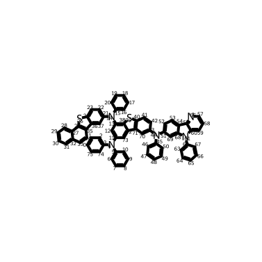 c1ccc(N(c2ccccc2)c2cc(N(c3ccccc3)c3ccc4sc5c6ccccc6ccc5c4c3)c3sc4ccc(N(c5ccccc5)c5ccc6c7ncccc7n(-c7ccccc7)c6c5)cc4c3c2)cc1